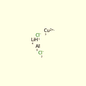 [Al].[Cl-].[Cl-].[Cu+2].[LiH]